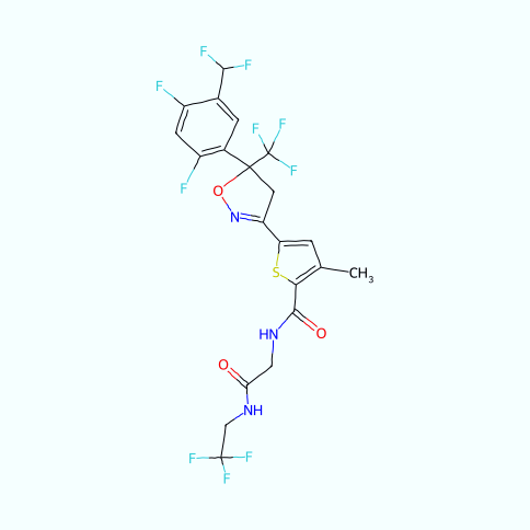 Cc1cc(C2=NOC(c3cc(C(F)F)c(F)cc3F)(C(F)(F)F)C2)sc1C(=O)NCC(=O)NCC(F)(F)F